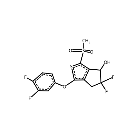 CS(=O)(=O)c1sc(Oc2ccc(F)c(F)c2)c2c1C(O)C(F)(F)C2